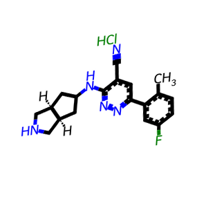 Cc1ccc(F)cc1-c1cc(C#N)c(NC2C[C@H]3CNC[C@H]3C2)nn1.Cl